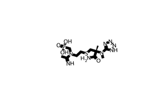 CC(=N)N(CCSC[C@@](C)(C(N)=O)N(C)c1nnn[nH]1)CP(=O)(O)O